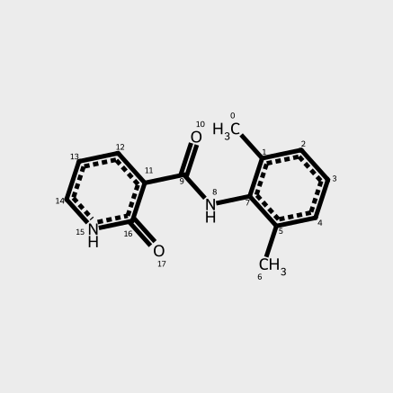 Cc1cccc(C)c1NC(=O)c1ccc[nH]c1=O